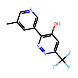 Cc1cncc(-c2nnc(C(F)(F)F)cc2O)c1